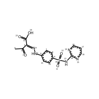 CC(=O)/C(=N\Nc1ccc(S(=O)(=O)Nc2ncccn2)cc1)C(=O)O